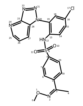 CO/N=C(/C)c1ccc(S(=O)(=O)Nc2ccc(Cl)cc2-n2nnc3ncccc32)cc1